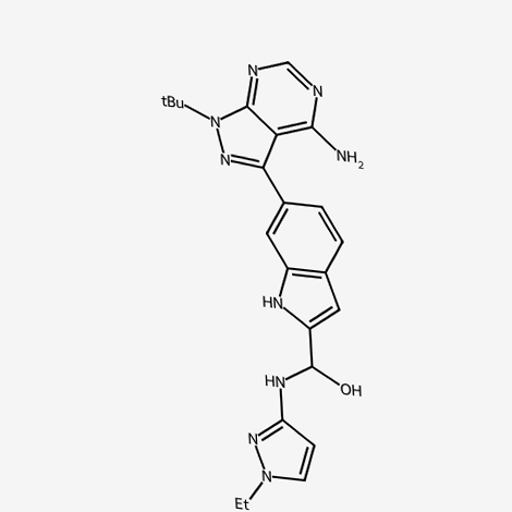 CCn1ccc(NC(O)c2cc3ccc(-c4nn(C(C)(C)C)c5ncnc(N)c45)cc3[nH]2)n1